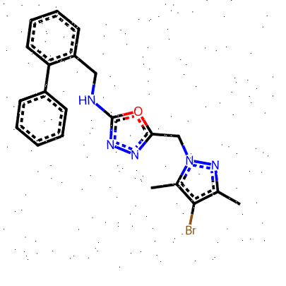 Cc1nn(Cc2nnc(NCc3ccccc3-c3ccccc3)o2)c(C)c1Br